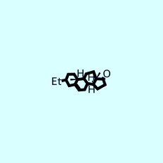 CCC1CC[C@@]2(C)C(=CC[C@@H]3[C@H]2CC[C@]2(C)C(=O)CC[C@@H]32)C1